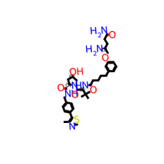 Cc1ncsc1-c1ccc(CNC(=O)[C@@H]2C[C@@H](O)CN2C(=O)[C@@H](NC(=O)CCCCc2cccc(OC[C@@H](N)CCC(N)=O)c2)C(C)(C)C)cc1